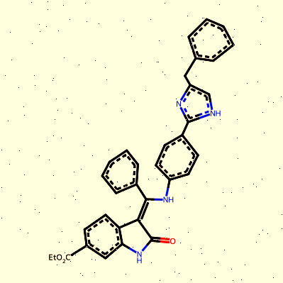 CCOC(=O)c1ccc2c(c1)NC(=O)/C2=C(\Nc1ccc(-c2nc(Cc3ccccc3)c[nH]2)cc1)c1ccccc1